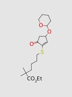 CCOC(=O)C(C)(C)CCCCSC1=CC(OC2CCCCO2)CC1=O